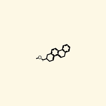 CO[CH]C1CC=c2c(ccc3c2=CCc2ccccc2-3)C1